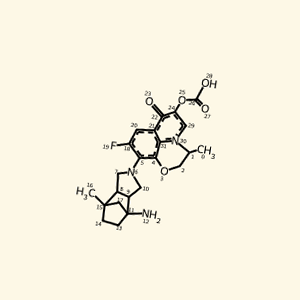 CC1COc2c(N3CC4C(C3)C3(N)CCC4(C)C3)c(F)cc3c(=O)c(OC(=O)O)cn1c23